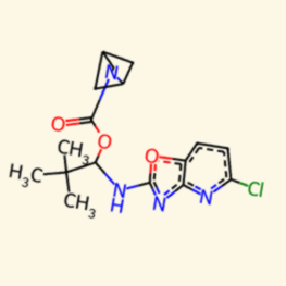 CC(C)(C)C(Nc1nc2nc(Cl)ccc2o1)OC(=O)N1CC2CC1C2